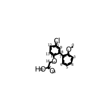 COc1ccccc1-c1cc(Cl)ccc1OCC(=O)O